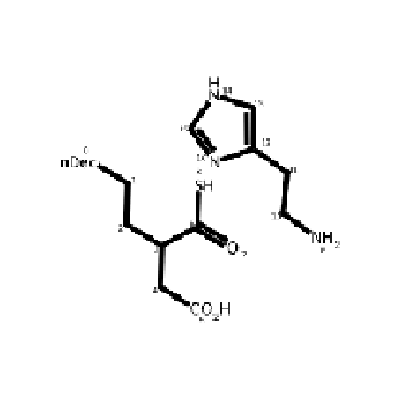 CCCCCCCCCCCCC(CC(=O)O)C(=O)S.NCCc1c[nH]cn1